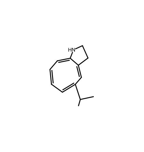 CC(C)C1=C/C=C\C=C2\NCC\C2=C\1